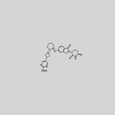 COc1ncc(C2CN([C@@H]3CCCC[C@H]3Oc3ccc4c(c3)CN(C3CCC(=O)NC3=O)C4=O)C2)cn1